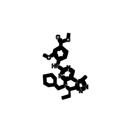 CC[C@@H]1c2nnc(C)n2-c2cnc(Nc3ccc(C(=O)OC)cc3OC)nc2N1CC1CCCCC1